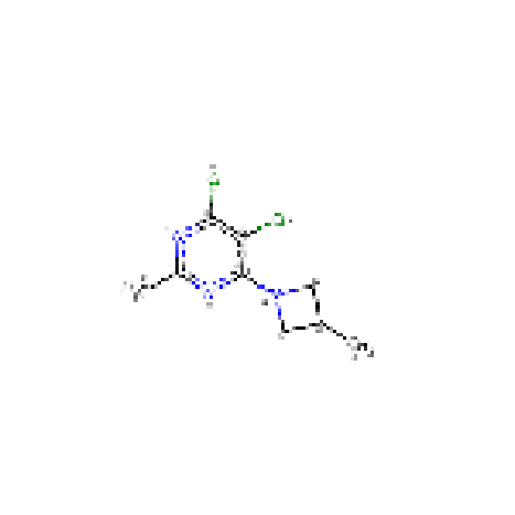 Cc1nc(Cl)c(Cl)c(N2CC(C)C2)n1